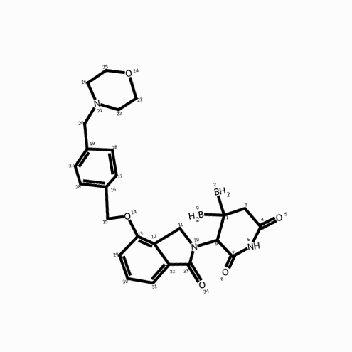 BC1(B)CC(=O)NC(=O)C1N1Cc2c(OCc3ccc(CN4CCOCC4)cc3)cccc2C1=O